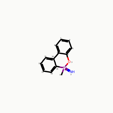 CP1(=N)Oc2ccccc2-c2ccccc21